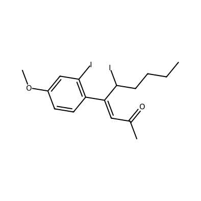 CCCCC(I)C(=CC(C)=O)c1ccc(OC)cc1I